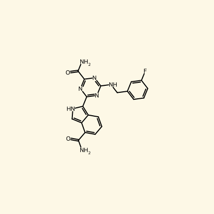 NC(=O)c1nc(NCc2cccc(F)c2)nc(-c2[nH]cc3c(C(N)=O)cccc23)n1